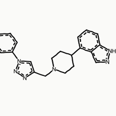 c1ccc(-n2cc(CN3CCC(c4cccc5[nH]ncc45)CC3)nn2)cc1